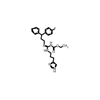 CCOC(=O)NC(=NCCC(c1ccccc1)c1ccc(F)cc1)NCCCc1c[nH]cn1